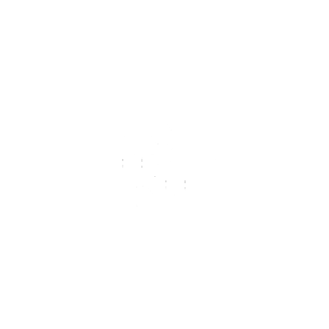 Clc1ccccc1-c1ccc2c(c1)[Si](c1ccc3ccccc3c1)(c1ccc3ccccc3c1)c1ccccc1-2